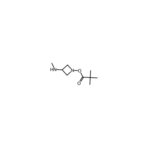 CNC1CN(OC(=O)C(C)(C)C)C1